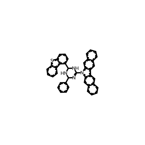 c1ccc(C2N=C(n3c4cc5ccccc5cc4c4cc5ccccc5cc43)NC(c3cccc4sc5ccccc5c34)N2)cc1